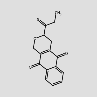 CCC(=S)C1CC2=C(CO1)C(=O)c1ccccc1C2=O